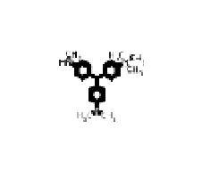 CNc1ccc(C(c2ccc(N(C)C)cc2)c2ccc([N+](C)(C)C)cc2)cc1